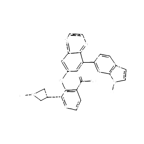 CN1CC(c2nccc(C(N)=O)c2Nc2cc(-c3ccc4ccn(C)c4c3)c3nccnc3c2)C1